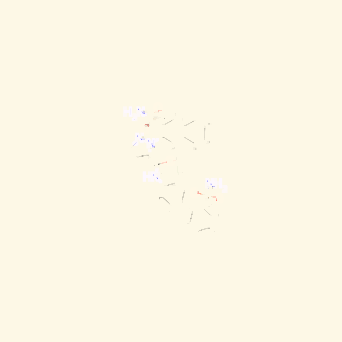 Cc1cc(C(=O)Nc2ccc(-c3ccccc3S(N)(=O)=O)cc2F)n(-c2cc3ccccc3cc2S(N)(=O)=O)n1